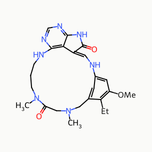 CCc1c2cc(cc1OC)N/C=C1\C(=O)Nc3ncnc(c31)NCCCN(C)C(=O)CN(C)C2